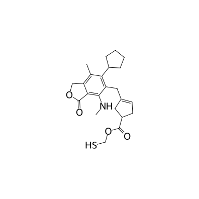 CNc1c(CC2=CCC(C(=O)OCS)C2)c(C2CCCC2)c(C)c2c1C(=O)OC2